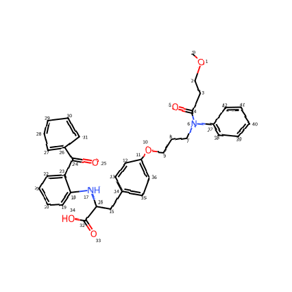 COCCC(=O)N(CCCOc1ccc(CC(Nc2ccccc2C(=O)c2ccccc2)C(=O)O)cc1)c1ccccc1